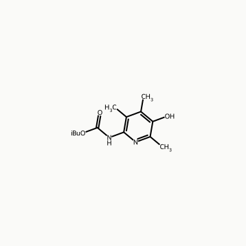 Cc1nc(NC(=O)OCC(C)C)c(C)c(C)c1O